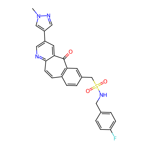 Cn1cc(-c2cnc3ccc4ccc(CS(=O)(=O)NCc5ccc(F)cc5)cc4c(=O)c3c2)cn1